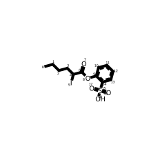 CCCCC(I)C(=O)Oc1ccccc1S(=O)(=O)O